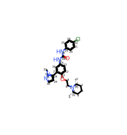 C[C@@H]1CCC[C@H](C)N1CCOc1ccc(NC(=O)Nc2ccc(Cl)cc2)cc1-c1ccnn1C